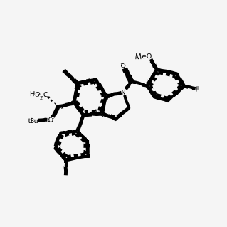 COc1cc(F)ccc1C(=O)N1CCc2c1cc(C)c([C@H](OC(C)(C)C)C(=O)O)c2-c1ccc(C)cc1